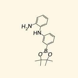 CC1(C)OB(c2cccc(Nc3ccccc3N)c2)OC1(C)C